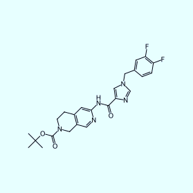 CC(C)(C)OC(=O)N1CCc2cc(NC(=O)c3cn(Cc4ccc(F)c(F)c4)cn3)ncc2C1